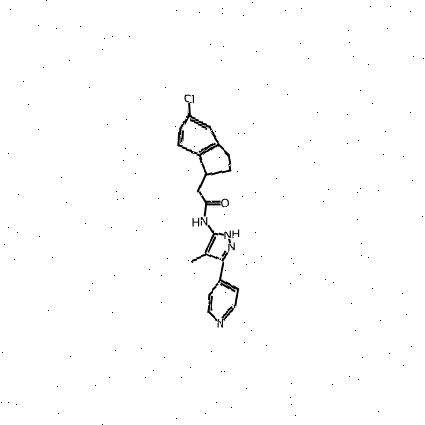 Cc1c(-c2ccncc2)n[nH]c1NC(=O)CC1CCc2cc(Cl)ccc21